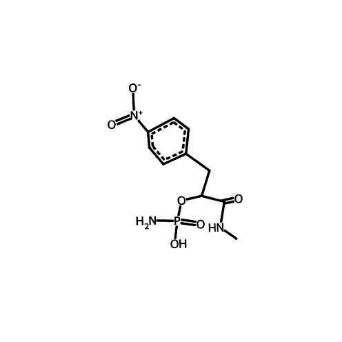 CNC(=O)C(Cc1ccc([N+](=O)[O-])cc1)OP(N)(=O)O